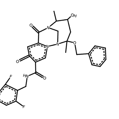 CC1C(O)CC(C)(OCc2ccccc2)N2CN1C(=O)c1cc(=O)c(C(=O)NCc3c(F)cc(F)cc3F)cn12